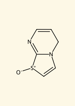 [O-][S+]1C=CN2CC=CN=C21